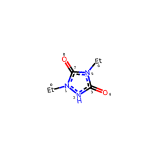 CCn1[nH]c(=O)n(CC)c1=O